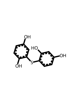 Oc1ccc(Sc2cc(O)ccc2O)c(O)c1